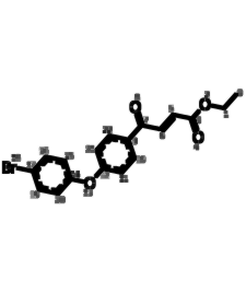 CCOC(=O)/C=C/C(=O)c1ccc(Oc2ccc(Br)cc2)cc1